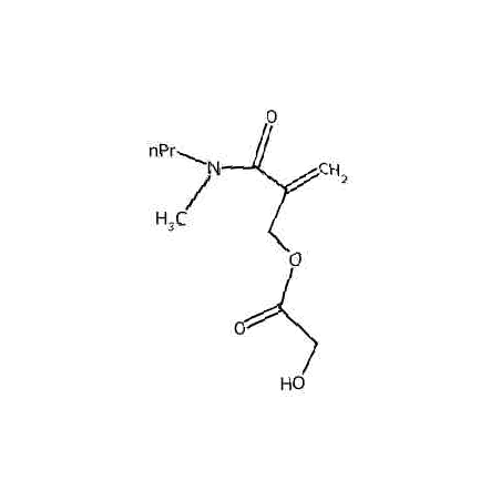 C=C(COC(=O)CO)C(=O)N(C)CCC